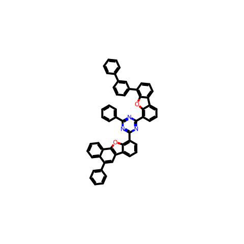 c1ccc(-c2cccc(-c3cccc4c3oc3c(-c5nc(-c6ccccc6)nc(-c6cccc7c6oc6c8ccccc8c(-c8ccccc8)cc76)n5)cccc34)c2)cc1